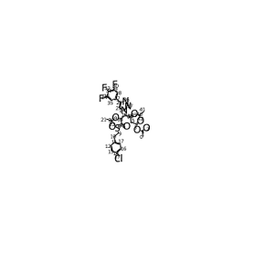 CC(=O)OCC1O[C@H](SCCc2ccc(Cl)cc2)C(OC(C)=O)C(n2cc(-c3cc(F)c(F)c(F)c3)nn2)[C@H]1OC(C)=O